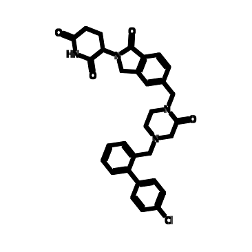 O=C1CCC(N2Cc3cc(CN4CCN(Cc5ccccc5-c5ccc(Cl)cc5)CC4=O)ccc3C2=O)C(=O)N1